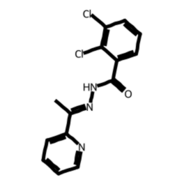 C/C(=N\NC(=O)c1cccc(Cl)c1Cl)c1ccccn1